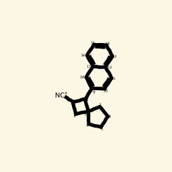 N#CC1CC2(CCCC2)C1c1ccc2ccccc2c1